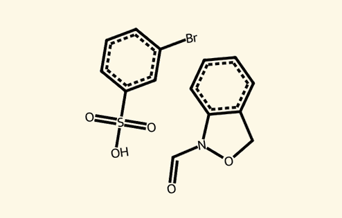 O=CN1OCc2ccccc21.O=S(=O)(O)c1cccc(Br)c1